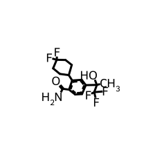 CC(O)(c1ccc(C(N)=O)c(C2CCC(F)(F)CC2)c1)C(F)(F)F